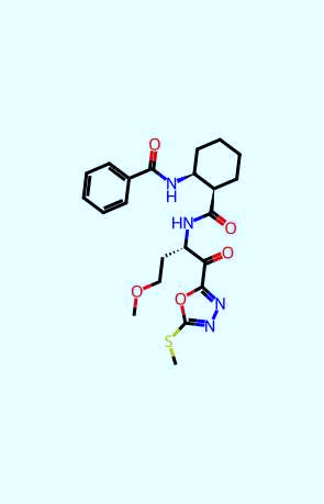 COCC[C@H](NC(=O)[C@@H]1CCCC[C@@H]1NC(=O)c1ccccc1)C(=O)c1nnc(SC)o1